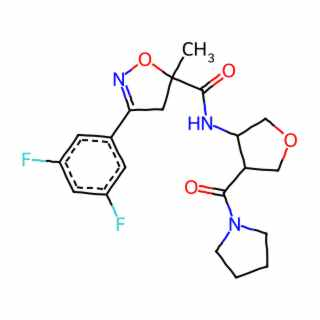 CC1(C(=O)NC2COCC2C(=O)N2CCCC2)CC(c2cc(F)cc(F)c2)=NO1